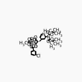 CC(C)(C)OC(=O)N(C(=O)OC(C)(C)C)c1cc(C[C@H]2C(=O)N([Si](C)(C)C(C)(C)C)[C@@H]2OC(=O)c2cccc(Cl)c2)ccn1